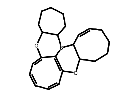 C1=C\C=C2\OC3CCCCCC3B3C2=C(\C=C/1)OC1CCCC/C=C\C31